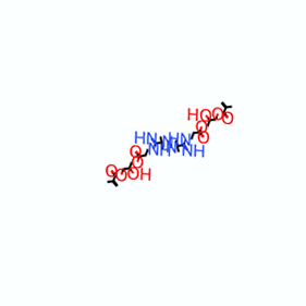 C=C(C)C(=O)OCC(O)COC(=O)CCNC(=N)C(C)(C)/N=N/C(C)(C)C(=N)NCCC(=O)OCC(O)COC(=O)C(=C)C